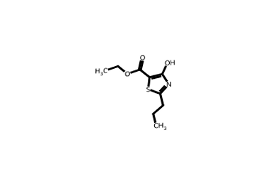 CCCc1nc(O)c(C(=O)OCC)s1